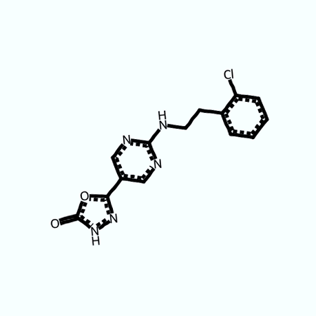 O=c1[nH]nc(-c2cnc(NCCc3ccccc3Cl)nc2)o1